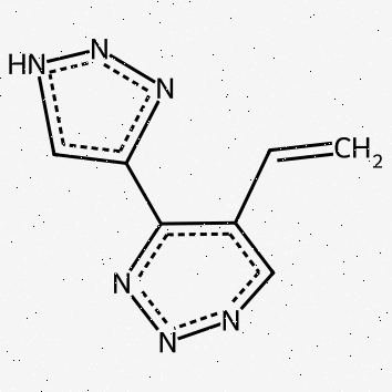 C=Cc1cnnnc1-c1c[nH]nn1